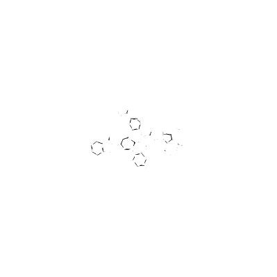 NC(=O)c1cc(-c2cc(N3C(=O)c4ccccc4C3=O)cnc2C(Cc2cc(F)cc(F)c2)NC(=O)Cn2nc(C(F)F)c3c2C(F)(F)CCC3(F)F)ccc1F